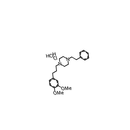 COc1ccc(CCCN2CCN(CCc3ccccc3)CC2)cc1OC.Cl.Cl